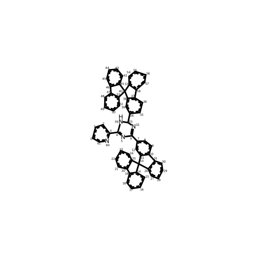 c1ccc(C2=NC(c3ccc4c(c3)C3(c5ccccc5-c5ccccc53)c3ccccc3-4)=NC(c3ccc4c(c3)C3(c5ccccc5-c5ccccc53)c3ccccc3-4)N2)nc1